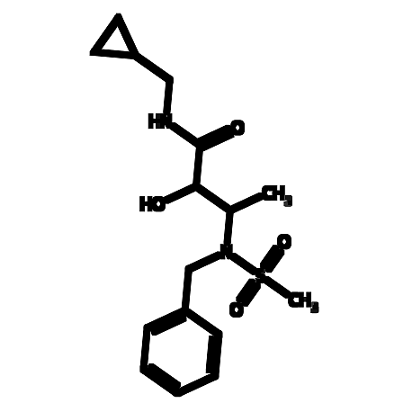 CC(C(O)C(=O)NCC1CC1)N(Cc1ccccc1)S(C)(=O)=O